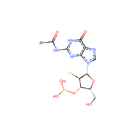 CC(C)C(=O)Nc1nc2c(ncn2[C@@H]2O[C@H](CO)[C@H](OP(O)O)[C@H]2F)c(=O)[nH]1